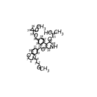 COCCCN1CCOc2ccc(CO[C@H]3CNC[C@@H](OC[C@@H](C)O)C3c3ccc(COCC4(OC)CC4)cc3)cc21